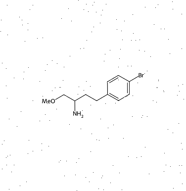 COCC(N)CCc1ccc(Br)cc1